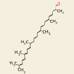 CC(C)=C/C=C/C(C)=C/C=C/C(C)=C/C=C/C=C(C)/C=C/C=C(C)/C=C/C=C(\C)C=O